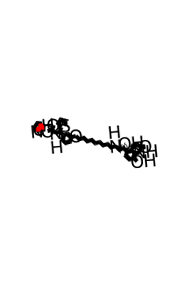 O=C(NC(c1cccc(OCCCCCCCCCNC[C@H](O)c2ccc(O)c3[nH]c(=O)ccc23)c1)c1cccs1)O[C@H]1CN2CCC1CC2